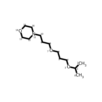 CC(C)OCCCOCCCN1CCOCC1